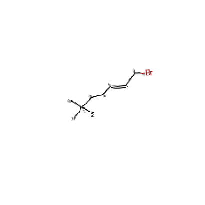 CC(C)(C)CCC=CCBr